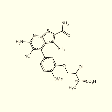 COc1ccc(-c2c(C#N)c(N)nc3sc(C(N)=O)c(N)c23)cc1OCC(O)[C@H](C)C(=O)O